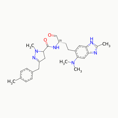 Cc1ccc(CC2=NN(C)C(C(=O)N[C@H](C=O)CCc3cc4[nH]c(C)nc4cc3N(C)C)C2)cc1